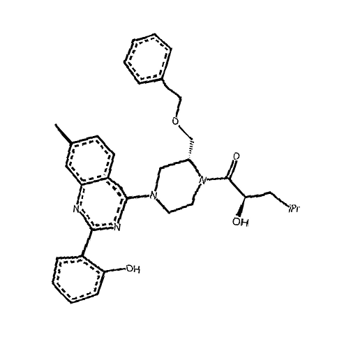 Cc1ccc2c(N3CCN(C(=O)[C@H](O)CC(C)C)[C@@H](COCc4ccccc4)C3)nc(-c3ccccc3O)nc2c1